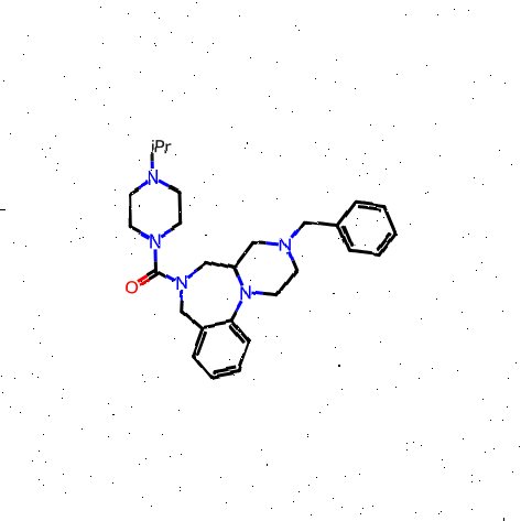 CC(C)N1CCN(C(=O)N2Cc3ccccc3N3CCN(Cc4ccccc4)CC3C2)CC1